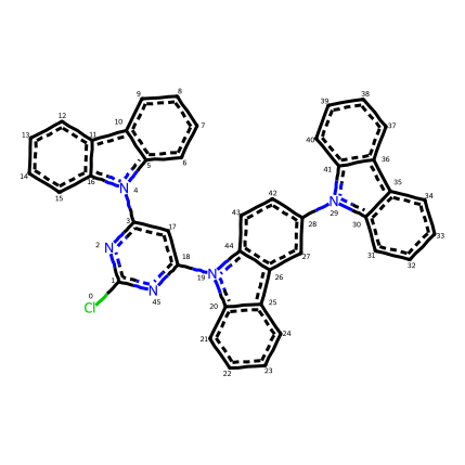 Clc1nc(-n2c3ccccc3c3ccccc32)cc(-n2c3ccccc3c3cc(-n4c5ccccc5c5ccccc54)ccc32)n1